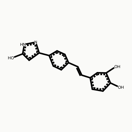 Oc1cc(-c2ccc(C=Cc3ccc(O)c(O)c3)cc2)n[nH]1